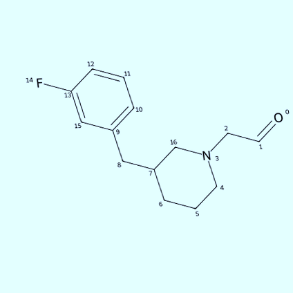 O=CCN1CCCC(Cc2cccc(F)c2)C1